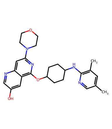 Cc1cnc(NC2CCC(Oc3nc(N4CCOCC4)cc4ncc(O)cc34)CC2)c(C)c1